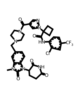 Cn1c(=O)n(C2CCC(=O)NC2=O)c2ccc(CN3CCN(C(=O)c4cnn(C5(C(=O)Nc6ccc(C(F)(F)F)cc6Cl)CCC5)c4)CC3)cc21